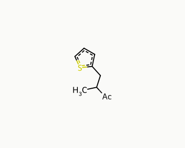 CC(=O)C(C)Cc1cccs1